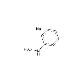 CNc1ccccc1.[Na]